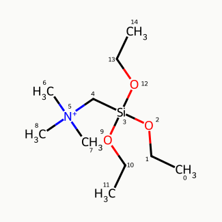 CCO[Si](C[N+](C)(C)C)(OCC)OCC